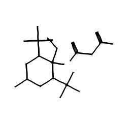 CCC1(OC(=O)CC(=O)O)C(C(C)(C)C)CC(C)CC1C(C)(C)C